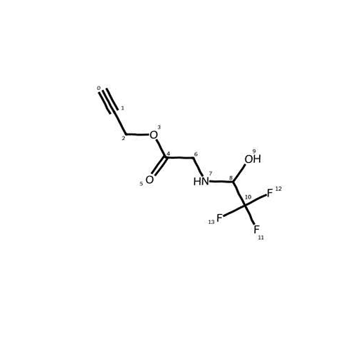 C#CCOC(=O)CNC(O)C(F)(F)F